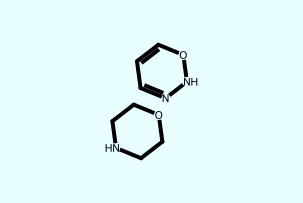 C1=CONN=C1.C1COCCN1